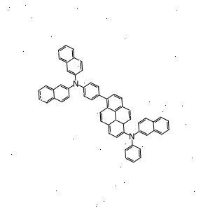 C1=Cc2c(-c3ccc(N(c4ccc5ccccc5c4)c4ccc5ccccc5c4)cc3)ccc3c2C2C1=CC=C(N(c1ccccc1)c1ccc4ccccc4c1)C2C=C3